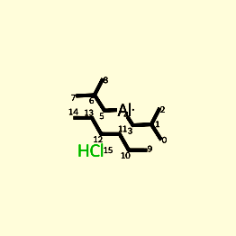 CC(C)[CH2][Al][CH2]C(C)C.CCCCCC.Cl